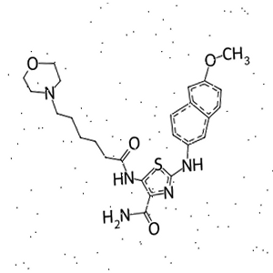 COc1ccc2cc(Nc3nc(C(N)=O)c(NC(=O)CCCCCN4CCOCC4)s3)ccc2c1